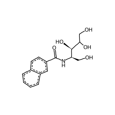 O=C(N[C@H](CO)[C@@H](O)C(O)CO)c1ccc2ccccc2c1